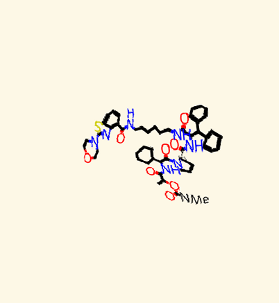 CNC(=O)OC(C)C(=O)NC(C(=O)N1CCC[C@H]1C(=O)NC(C(=O)NCCCCCCNC(=O)c1cccc2sc(N3CCOCC3)nc12)C(c1ccccc1)c1ccccc1)C1CCCCC1